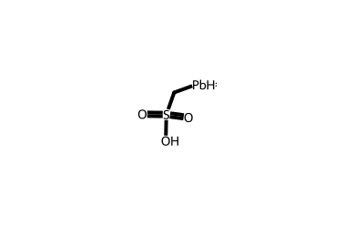 O=S(=O)(O)[CH2][PbH]